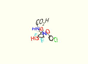 Cc1c(C(C)C(=O)NCCC(=O)O)c2c(F)c(O)c(F)cc2n1C(=O)c1cccc(Cl)c1